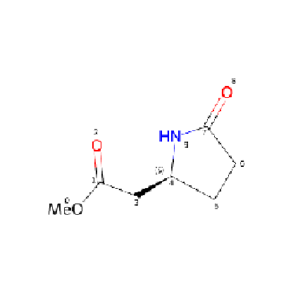 COC(=O)C[C@@H]1CCC(=O)N1